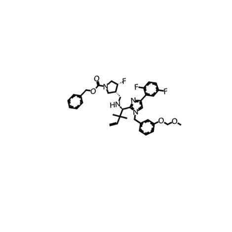 C=CC(C)(C)[C@@H](NC[C@@H]1CN(C(=O)OCc2ccccc2)C[C@@H]1F)c1nc(-c2cc(F)ccc2F)cn1Cc1cccc(OCOC)c1